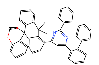 CC1(C)c2ccccc2C2(c3ccccc3Oc3ccccc32)c2cccc(-c3cc(-c4ccccc4-c4ccccc4)nc(-c4ccccc4)n3)c21